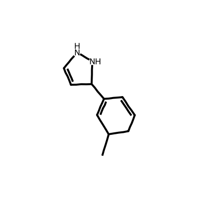 CC1C=C(C2C=CNN2)C=CC1